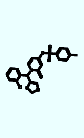 Cc1ccc(S(=O)(=O)Oc2ccn(C(C3=COCO3)c3ccccc3Cl)c(=O)c2)cc1